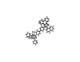 c1ccc(C2N=C(c3ccc(-c4ccc(-n5c(-c6cccc7ccccc67)nc6c7ccccc7c7ccncc7c65)cc4)cc3)NC(c3ccccc3)N2)cc1